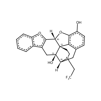 Oc1ccc2c3c1O[C@H]1c4oc5ccccc5c4C[C@@]4(O)[C@@H](C2)N(CC(F)(F)F)CC[C@]314